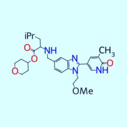 COCCn1c(-c2c[nH]c(=O)c(C)c2)nc2cc(CNC(CC(C)C)C(=O)OC3CCOCC3)ccc21